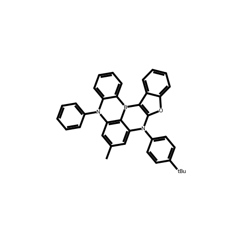 Cc1cc2c3c(c1)N(c1ccc(C(C)(C)C)cc1)c1oc4ccccc4c1B3c1ccccc1N2c1ccccc1